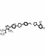 C=C1N(c2ccc(N3CCN(c4ccc(CC[C@@H]5CCC(c6ccc(Cl)cc6Cl)C5)cc4)CC3)nc2)C=NN1C(C)CC